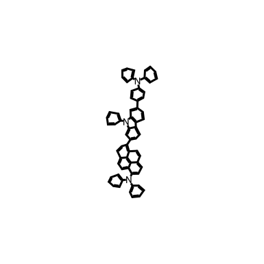 c1ccc(N(c2ccccc2)c2ccc(-c3ccc4c5ccc(-c6ccc7ccc8c(N(c9ccccc9)c9ccccc9)ccc9ccc6c7c98)cc5n(-c5ccccc5)c4c3)cc2)cc1